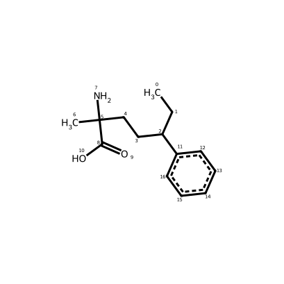 CCC(CCC(C)(N)C(=O)O)c1ccccc1